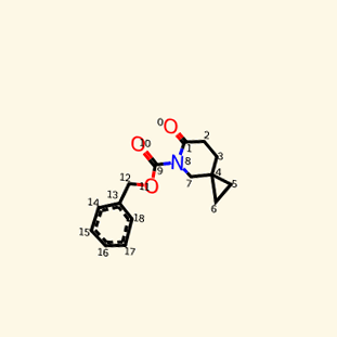 O=C1CCC2(CC2)CN1C(=O)OCc1ccccc1